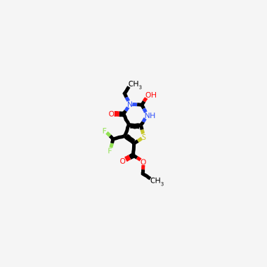 CCOC(=O)c1sc2c(c1C(F)F)C(=O)N(CC)C(O)N2